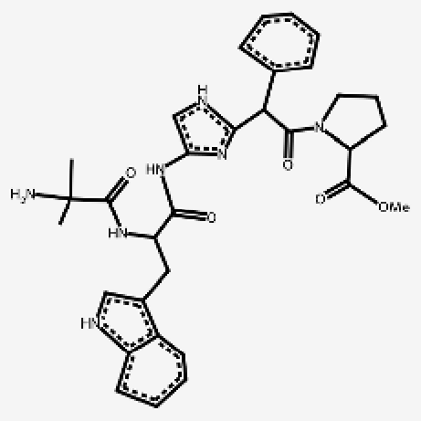 COC(=O)C1CCCN1C(=O)C(c1ccccc1)c1nc(NC(=O)C(Cc2c[nH]c3ccccc23)NC(=O)C(C)(C)N)c[nH]1